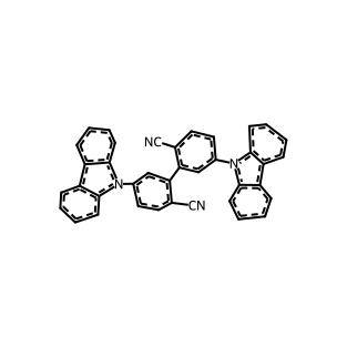 N#Cc1ccc(-n2c3ccccc3c3ccccc32)cc1-c1cc(-n2c3ccccc3c3ccccc32)ccc1C#N